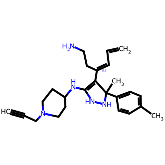 C#CCN1CCC(NC2=C(/C(=C/C=C)CCN)C(C)(c3ccc(C)cc3)NN2)CC1